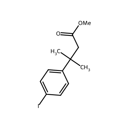 COC(=O)CC(C)(C)c1ccc(I)cc1